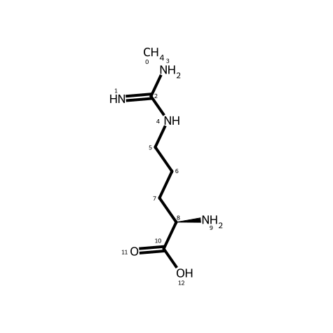 C.N=C(N)NCCC[C@@H](N)C(=O)O